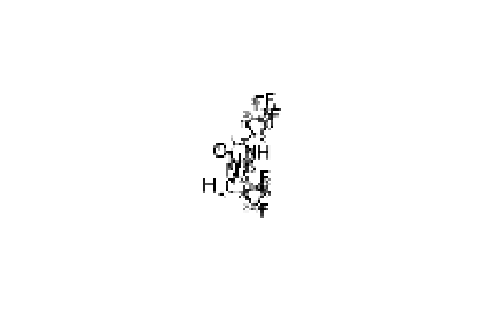 CC1=NN2C(=O)C=C(c3ccc(C(F)(F)F)cc3)NC2C=C1c1ccc(F)cc1F